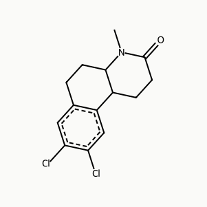 CN1C(=O)CCC2c3cc(Cl)c(Cl)cc3CCC21